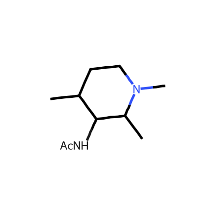 CC(=O)NC1C(C)CCN(C)C1C